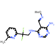 CON=Cc1c(N)ncnc1NCC(F)(F)c1cccc(C)n1